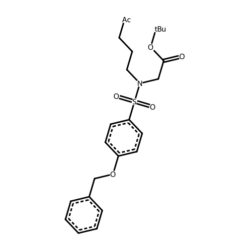 CC(=O)CCCN(CC(=O)OC(C)(C)C)S(=O)(=O)c1ccc(OCc2ccccc2)cc1